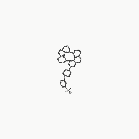 CP(C)(=O)c1cccc(-c2ccc(-c3cc4ccc5cccc6c7cccc8ccc9cccc(c(c3)c4c56)c9c87)cc2)c1